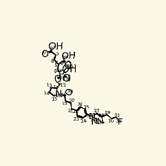 O=C(O)CCC(CP(=O)(O)OC[C@@H]1CCCN1C(=O)CCCc1ccc(-n2cc(CCCF)nn2)cc1)C(=O)O